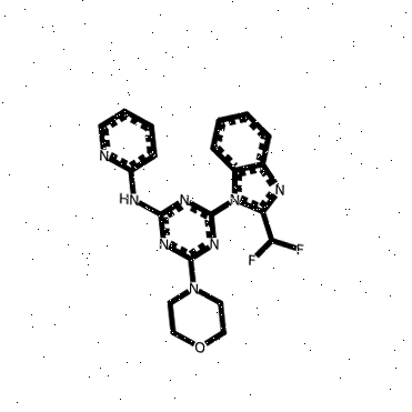 FC(F)c1nc2ccccc2n1-c1nc(Nc2ccccn2)nc(N2CCOCC2)n1